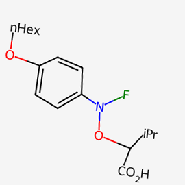 CCCCCCOc1ccc(N(F)OC(C(=O)O)C(C)C)cc1